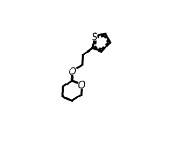 c1csc(CCOC2CCCCO2)c1